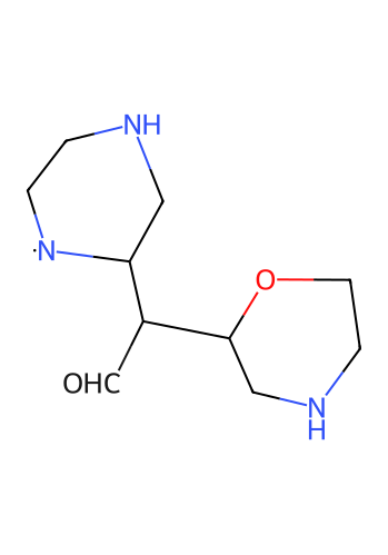 O=CC(C1CNCC[N]1)C1CNCCO1